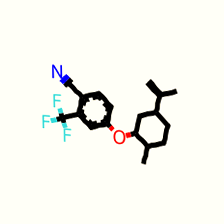 C=C(C)C1CCC(C)C(Oc2ccc(C#N)c(C(F)(F)F)c2)C1